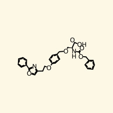 O=C(N[C@@H](COCc1ccc(OCCc2coc(-c3ccccc3)n2)cc1)C(=O)O)OCc1ccccc1